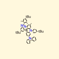 Cc1cc2c3c(c1)-n1c(-c4c(C)cc(C(C)(C)C)cc4C)nc4cc(C(C)(C)C)cc(c41)B3c1ccc(-n3c4ccccc4c4ccccc43)cc1N2c1ccc(C(C)(C)C)cc1